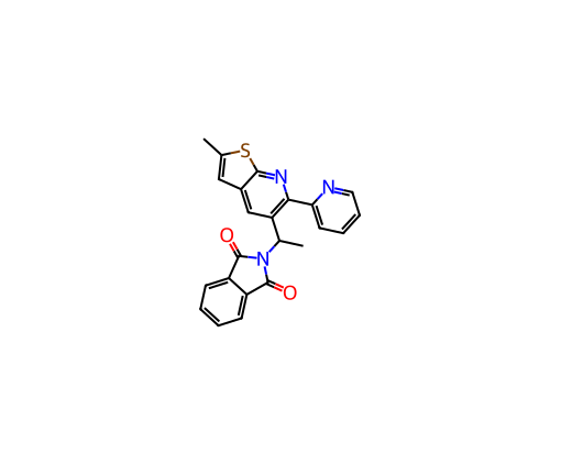 Cc1cc2cc(C(C)N3C(=O)c4ccccc4C3=O)c(-c3ccccn3)nc2s1